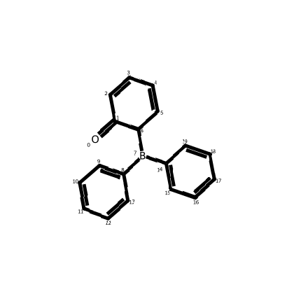 O=C1C=CC=CC1B(c1ccccc1)c1ccccc1